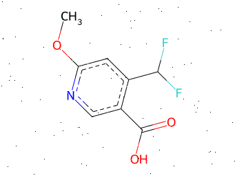 COc1cc(C(F)F)c(C(=O)O)cn1